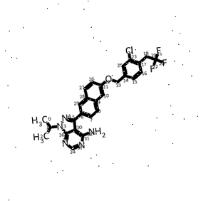 CC(C)n1nc(-c2ccc3cc(OCc4ccc(CC(F)(F)F)c(Cl)c4)ccc3c2)c2c(N)ncnc21